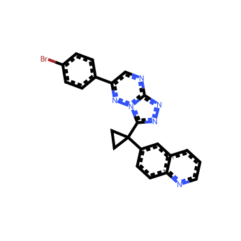 Brc1ccc(-c2cnc3nnc(C4(c5ccc6ncccc6c5)CC4)n3n2)cc1